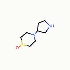 [O-][S+]1CCN(C2CCNC2)CC1